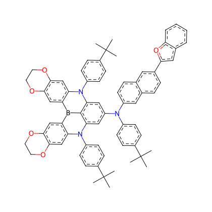 CC(C)(C)c1ccc(N(c2cc3c4c(c2)N(c2ccc(C(C)(C)C)cc2)c2cc5c(cc2B4c2cc4c(cc2N3c2ccc(C(C)(C)C)cc2)OCCO4)OCCO5)c2ccc3cc(-c4cc5ccccc5o4)ccc3c2)cc1